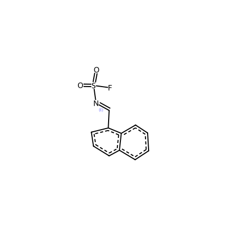 O=S(=O)(F)/N=C/c1cccc2ccccc12